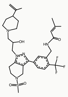 C=C(C)C1CCN(CC(O)Cn2nc(-c3ccc(C(F)(F)F)c(CNC(=O)C=C(C)C)c3)c3c2CCN(S(C)(=O)=O)C3)CC1